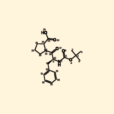 CC(C)(C)OC(=O)N[C@@H](Cc1ccccc1)C(=O)N1CCCC1C(=O)O